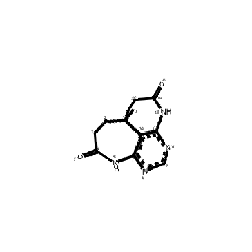 CC12CCC(=O)Nc3ncnc(c31)NC(=O)C2